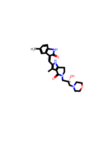 Bc1ccc2c(c1)/C(=C/c1[nH]c3c(c1C)C(=O)N(C[C@H](O)CN1CCOCC1)CC3)C(=O)N2